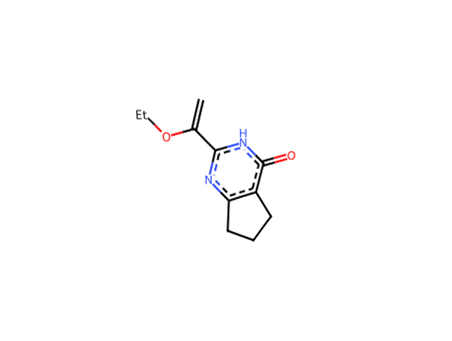 C=C(OCC)c1nc2c(c(=O)[nH]1)CCC2